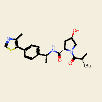 Cc1ncsc1-c1ccc([C@H](C)NC(=O)[C@@H]2C[C@@H](O)CN2C(=O)[C@H](C)C(C)(C)C)cc1